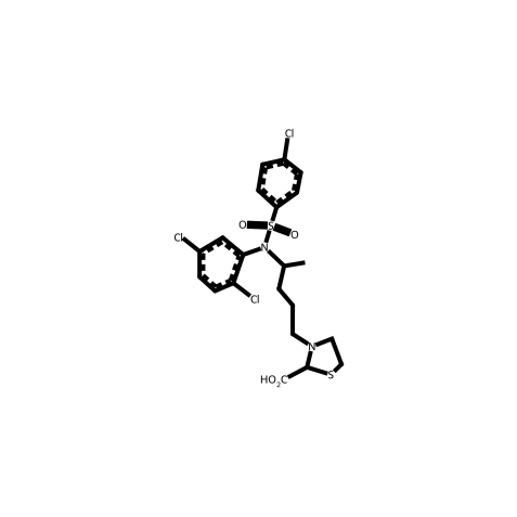 CC(CCCN1CCSC1C(=O)O)N(c1cc(Cl)ccc1Cl)S(=O)(=O)c1ccc(Cl)cc1